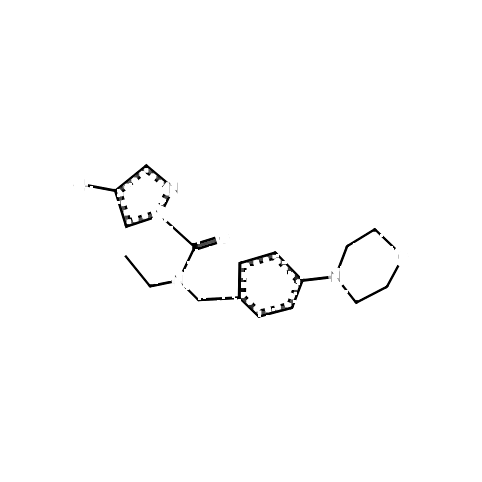 CCN(Cc1ccc(N2CCOCC2)cc1)C(=O)n1cc(Cl)cn1